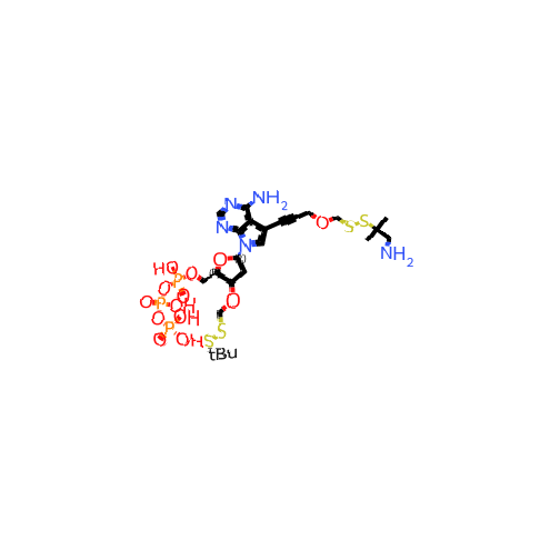 CC(C)(C)SSCOC1C[C@H](n2cc(C#CCOCSSC(C)(C)CN)c3c(N)ncnc32)O[C@@H]1COP(=O)(O)OP(=O)(O)OP(=O)(O)O